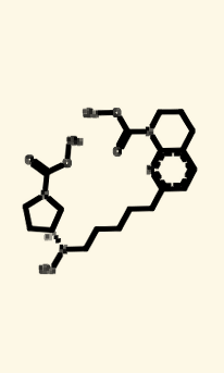 CC(C)(C)OC(=O)N1CC[C@@H](N(CCCCCc2ccc3c(n2)N(C(=O)OC(C)(C)C)CCC3)C(C)(C)C)C1